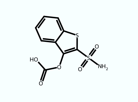 NS(=O)(=O)c1sc2ccccc2c1OC(=O)O